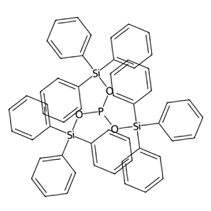 c1ccc([Si](OP(O[Si](c2ccccc2)(c2ccccc2)c2ccccc2)O[Si](c2ccccc2)(c2ccccc2)c2ccccc2)(c2ccccc2)c2ccccc2)cc1